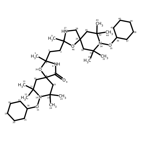 CC1(CCC2(C)NC(=O)C3(CC(C)(C)N(OC4CCCCC4)C(C)(C)C3)O2)NCC2(CC(C)(C)N(OC3CCCCC3)C(C)(C)C2)O1